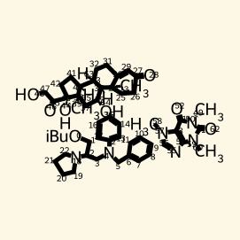 CC(C)COCC(CN(Cc1ccccc1)c1ccccc1)N1CCCC1.C[C@]12CCC(=O)C=C1CC[C@@H]1[C@@H]2[C@@H](O)C[C@@]2(C)[C@H]1CC[C@]2(O)C(=O)CO.Cn1c(=O)c2c(ncn2C)n(C)c1=O